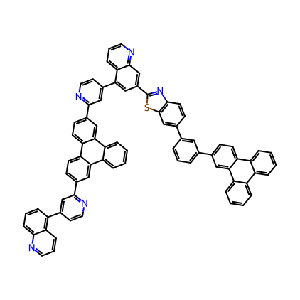 c1cc(-c2ccc3nc(-c4cc(-c5ccnc(-c6ccc7c8ccc(-c9cc(-c%10cccc%11ncccc%10%11)ccn9)cc8c8ccccc8c7c6)c5)c5cccnc5c4)sc3c2)cc(-c2ccc3c4ccccc4c4ccccc4c3c2)c1